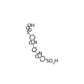 O=S(=O)(O)c1ccc2oc(-c3ccc(-c4nc5ccc(SOOO)cc5o4)s3)nc2c1